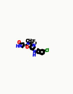 CN(C(=O)[C@@H]1CNC(=O)C1)[C@@H](c1ccc(N[C@H]2Cc3ccc(Cl)cc3C2)cn1)C(F)(F)F